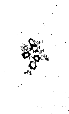 COc1cc(N2CCC(N(C)C)CC2)c(F)cc1Nc1nc2c(c(Nc3ccccc3SC(C)C)n1)CCN2